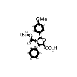 COc1ccc([C@H]2OC(C(=O)O)[C@H](c3ccccc3)N2C(=O)OC(C)(C)C)cc1